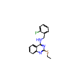 CCSc1nc(NCc2ccccc2F)c2ccccc2n1